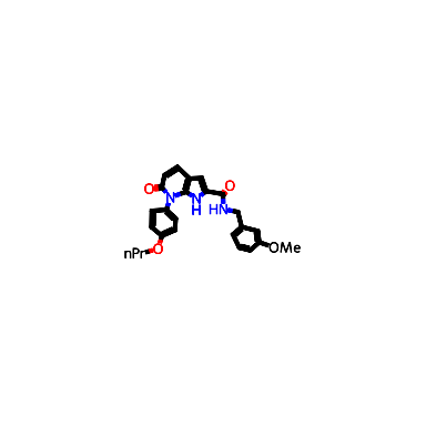 CCCOc1ccc(-n2c(=O)ccc3cc(C(=O)NCc4cccc(OC)c4)[nH]c32)cc1